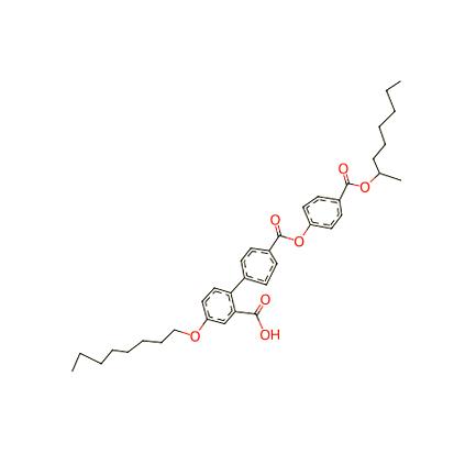 CCCCCCCCOc1ccc(-c2ccc(C(=O)Oc3ccc(C(=O)OC(C)CCCCCC)cc3)cc2)c(C(=O)O)c1